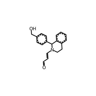 O=CC=CN1CCc2ccccc2C1c1ccc(CO)cc1